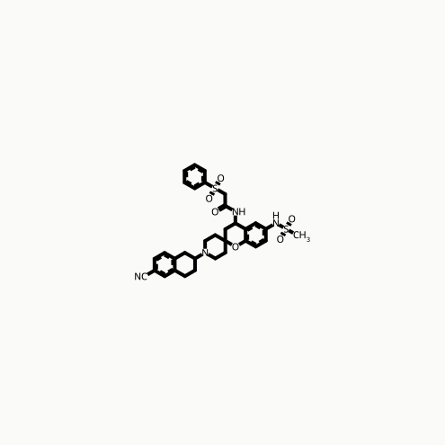 CS(=O)(=O)Nc1ccc2c(c1)C(NC(=O)CS(=O)(=O)c1ccccc1)CC1(CCN(C3CCc4cc(C#N)ccc4C3)CC1)O2